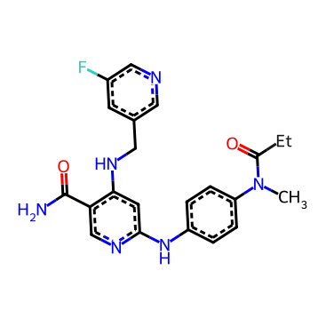 CCC(=O)N(C)c1ccc(Nc2cc(NCc3cncc(F)c3)c(C(N)=O)cn2)cc1